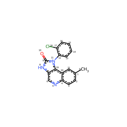 Cc1ccc2ncc3[nH]c(=O)n(-c4ccccc4Cl)c3c2c1